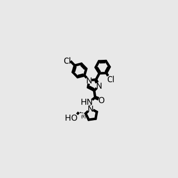 O=C(NN1CCC[C@@H]1CO)c1cn(-c2ccc(Cl)cc2)c(-c2ccccc2Cl)n1